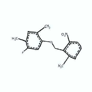 Cc1cc(C)c(OCc2c(C)cccc2[N+](=O)[O-])cc1F